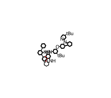 CC(C)(C)c1cc(Nc2cc3c(cc2Nc2c(-c4ccccc4)cccc2-c2ccccc2)N2CCCCC2N3)cc(Oc2ccc3c4ccccc4n(-c4cc(C(C)(C)C)ccn4)c3c2)c1